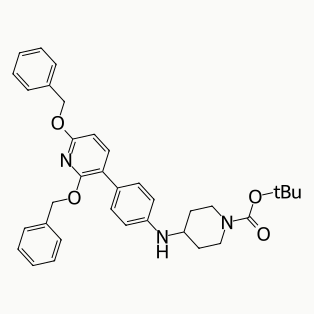 CC(C)(C)OC(=O)N1CCC(Nc2ccc(-c3ccc(OCc4ccccc4)nc3OCc3ccccc3)cc2)CC1